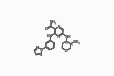 NC(=O)c1ncc(N[C@@H]2CCOC[C@@H]2N)nc1Nc1cccc(-n2nccn2)c1